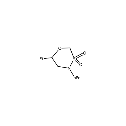 CCCN1CC(CC)OCS1(=O)=O